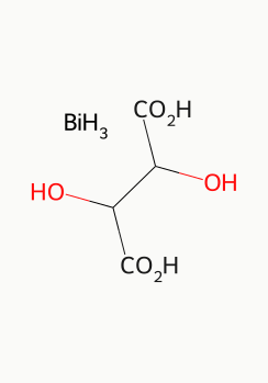 O=C(O)C(O)C(O)C(=O)O.[BiH3]